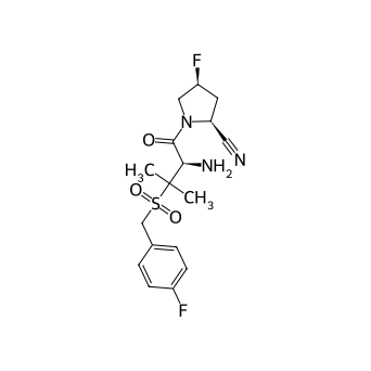 CC(C)([C@H](N)C(=O)N1C[C@@H](F)C[C@H]1C#N)S(=O)(=O)Cc1ccc(F)cc1